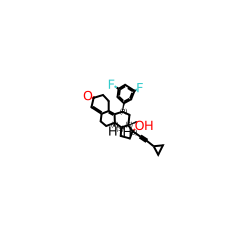 C[C@]12C[C@H](c3cc(F)cc(F)c3)C3=C4CCC(=O)C=C4CC[C@H]3[C@@H]1CC[C@@]2(O)C#CC1CC1